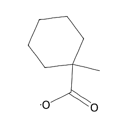 CC1(C([O])=O)CCCCC1